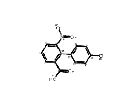 O=C(O)c1cccc([N+](=O)[O-])c1-c1ccc(Cl)cc1